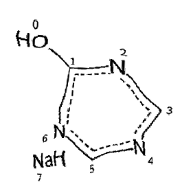 Oc1ncncn1.[NaH]